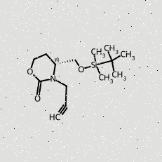 C#CCN1C(=O)OCC[C@@H]1CO[Si](C)(C)C(C)(C)C